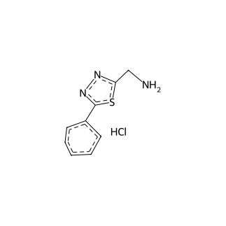 Cl.NCc1nnc(-c2ccccc2)s1